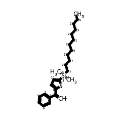 [CH]=C(c1cc[c]cc1)c1ccc([Si](C)(C)CCCCCCCCCCCC)s1